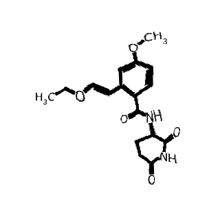 CCOC=Cc1cc(OC)ccc1C(=O)NC1CCC(=O)NC1=O